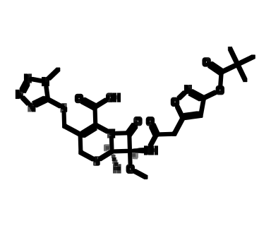 CO[C@@]1(NC(=O)Cc2cc(OC(=O)C(C)(C)C)no2)C(=O)N2C(C(=O)O)=C(CSc3nnnn3C)CS[C@@H]21